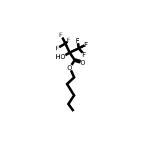 CCCCCOC(=O)C(O)(C(F)(F)F)C(F)(F)F